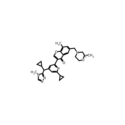 Cc1cc(CN2CCO[C@H](C)C2)cc2c(=O)c(-c3cc(C(c4nncn4C)C4CC4)cc(C4CC4)n3)coc12